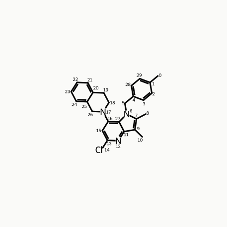 Cc1ccc(Cn2c(C)c(C)c3nc(Cl)cc(N4CCc5ccccc5C4)c32)cc1